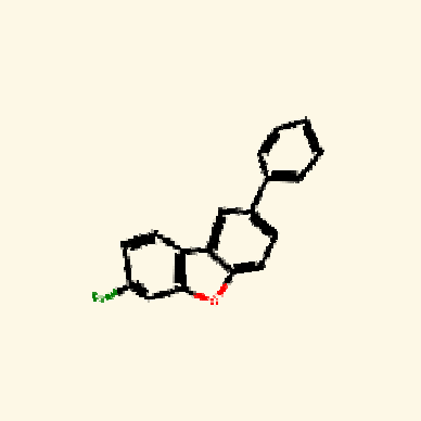 Brc1ccc2c(c1)oc1ccc(-c3ccccc3)cc12